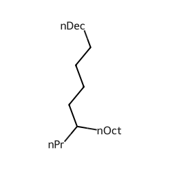 [CH2]CCC(CCCCCCCC)CCCCCCCCCCCCCC